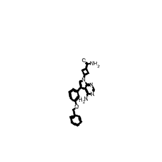 NC(=O)C1CC(n2cc(-c3cccc(OCc4ccccc4)c3)c3c(N)ncnc32)C1